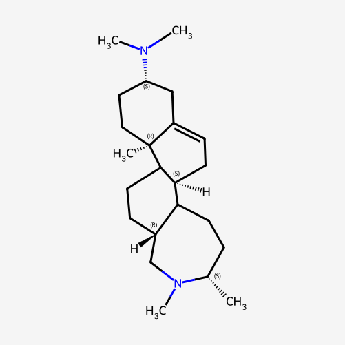 C[C@H]1CCC2[C@@H](CCC3[C@H]2CC=C2C[C@@H](N(C)C)CC[C@@]23C)CN1C